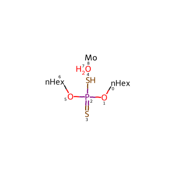 CCCCCCOP(=S)(S)OCCCCCC.O.[Mo]